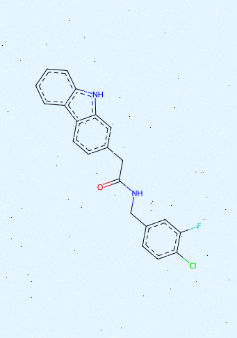 O=C(Cc1ccc2c(c1)[nH]c1ccccc12)NCc1ccc(Cl)c(F)c1